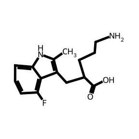 Cc1[nH]c2cccc(F)c2c1CC(CCCN)C(=O)O